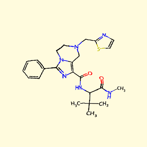 CNC(=O)C(NC(=O)c1nc(-c2ccccc2)n2c1CN(Cc1nccs1)CC2)C(C)(C)C